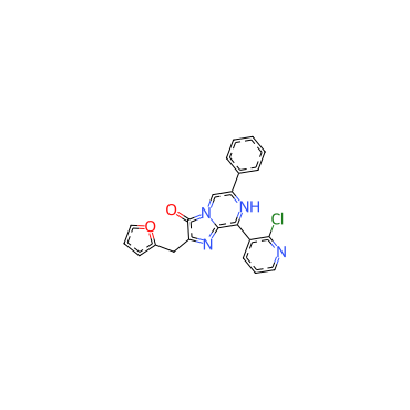 O=c1c(Cc2ccco2)nc2c(-c3cccnc3Cl)[nH]c(-c3ccccc3)cn1-2